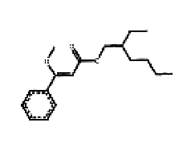 CCCCC(CC)COC(=O)C=C(OC)c1ccccc1